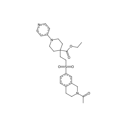 CCOC(=O)C1(CCS(=O)(=O)c2ccc3c(c2)CN(C(C)=O)CC3)CCN(c2ccncc2)CC1